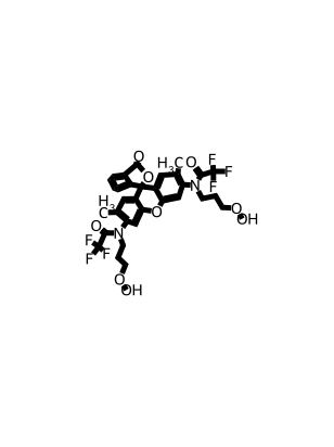 Cc1cc2c(cc1N(CCCOO)C(=O)C(F)(F)F)Oc1cc(N(CCCOO)C(=O)C(F)(F)F)c(C)cc1C21OC(=O)c2ccccc21